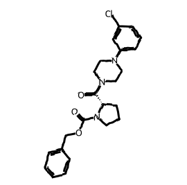 O=C([C@@H]1CCCN1C(=O)OCc1ccccc1)N1CCN(c2cccc(Cl)c2)CC1